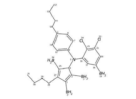 BC1=C(B)C(N(c2ccc(CCCC)cc2)c2cc(B)cc(Cl)c2Cl)C(B)=C1CCCC